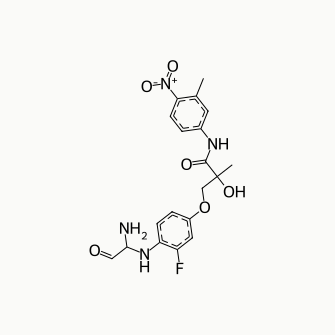 Cc1cc(NC(=O)C(C)(O)COc2ccc(NC(N)C=O)c(F)c2)ccc1[N+](=O)[O-]